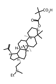 C=C(C)[C@@H]1CC[C@]2(CCN(C)CC)CC[C@]3(C)[C@H](CCC4[C@@]5(C)CC[C@H](OC(=O)CC(C)(C)C(=O)O)C(C)(C)C5CC[C@]43C)C12